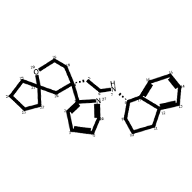 c1ccc([C@]2(CCN[C@H]3CCCc4ccccc43)CCOC3(CCCC3)C2)nc1